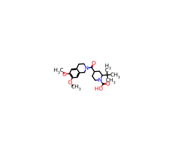 COc1cc2c(cc1OC)CN(C(=O)C1CCN(C(=O)O)C(C(C)(C)C)C1)CC2